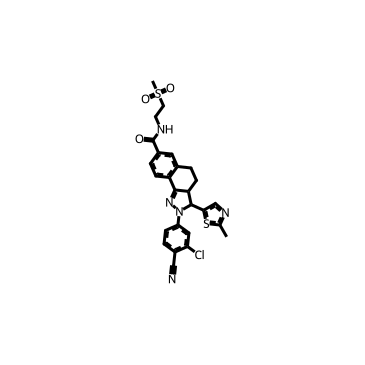 Cc1ncc(C2C3CCc4cc(C(=O)NCCS(C)(=O)=O)ccc4C3=NN2c2ccc(C#N)c(Cl)c2)s1